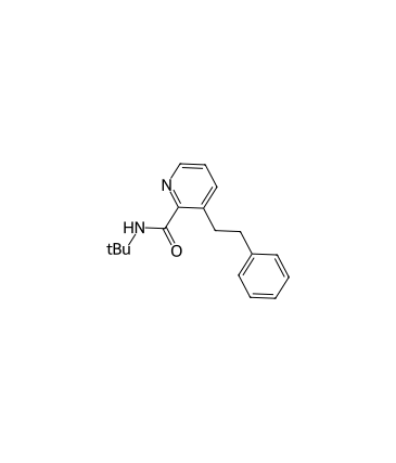 CC(C)(C)NC(=O)c1ncccc1CCc1ccccc1